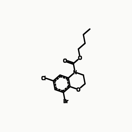 CCCCOC(=O)N1CCOc2c(Br)cc(Cl)cc21